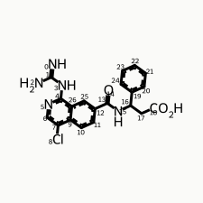 N=C(N)Nc1ncc(Cl)c2ccc(C(=O)NC(CC(=O)O)c3ccccc3)cc12